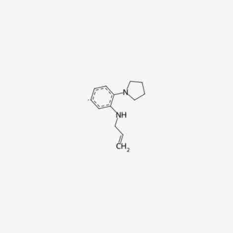 C=CCNc1c[c]ccc1N1CCCC1